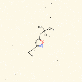 CC(C)(C)Cc1cc(C2CC2)no1